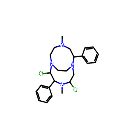 CN1CCN2CCN(CC(Cl)N(C)C(c3ccccc3)C2Cl)C(c2ccccc2)C1